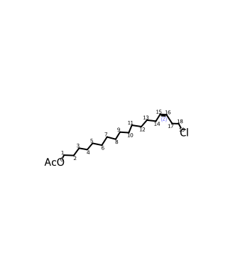 CC(=O)OCCCCCCCCCCCCCC/C=C\CCCl